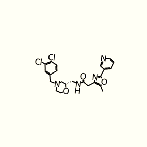 Cc1oc(-c2cccnc2)nc1CC(=O)NC[C@H]1CN(Cc2ccc(Cl)c(Cl)c2)CCO1